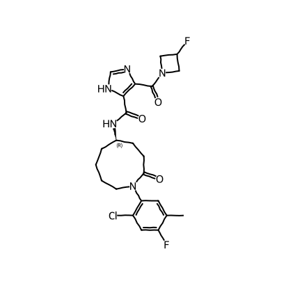 Cc1cc(N2CCCC[C@@H](NC(=O)c3[nH]cnc3C(=O)N3CC(F)C3)CCC2=O)c(Cl)cc1F